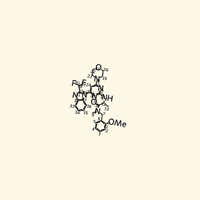 COc1ccccc1CN(C)C(=O)[C@H](C)Nc1nc(N2CCOCC2)cc(-n2c(C(F)F)nc3ccccc32)n1